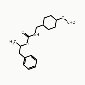 CC(Cc1ccccc1)OC(=O)NCC1CCC(OC=O)CC1